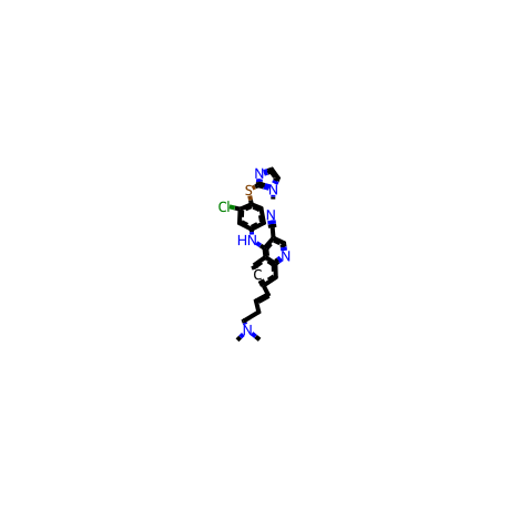 CN(C)CCC=Cc1ccc2c(Nc3ccc(Sc4nccn4C)c(Cl)c3)c(C#N)cnc2c1